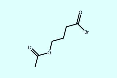 CC(=O)OCCCC(=O)Br